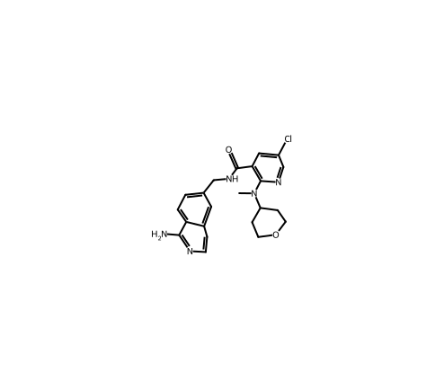 CN(c1ncc(Cl)cc1C(=O)NCc1ccc2c(N)nccc2c1)C1CCOCC1